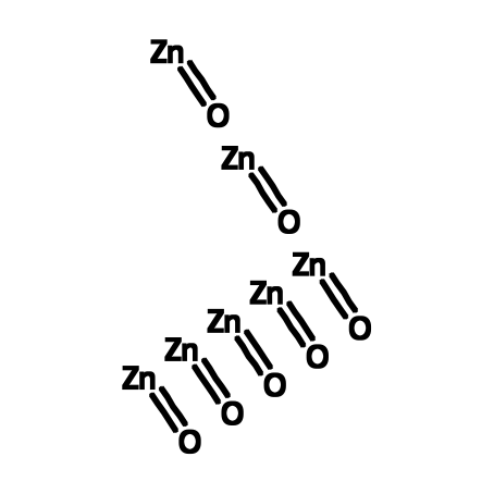 [O]=[Zn].[O]=[Zn].[O]=[Zn].[O]=[Zn].[O]=[Zn].[O]=[Zn].[O]=[Zn]